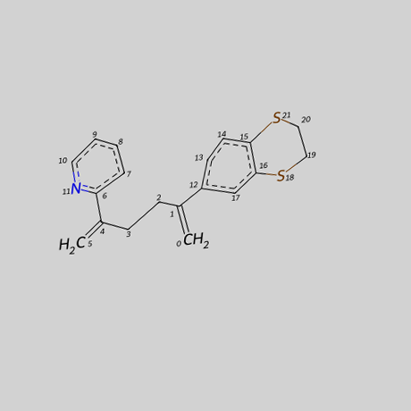 C=C(CCC(=C)c1ccccn1)c1ccc2c(c1)SCCS2